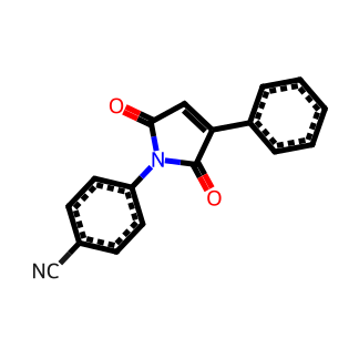 N#Cc1ccc(N2C(=O)C=C(c3ccccc3)C2=O)cc1